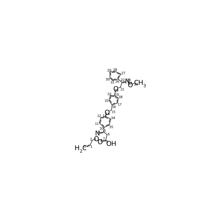 C=CCO/N=C(\CC(=O)O)c1ccc(OCc2ccc(OC/C(=N\OC)c3ccccc3)cc2)cc1